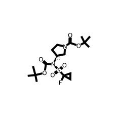 CC(C)(C)OC(=O)N1CC[C@H](N(C(=O)OC(C)(C)C)S(=O)(=O)C2(F)CC2)C1